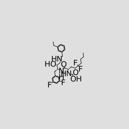 CCCCC(F)(F)CC[C@@H](NC(=O)O)C(=O)N[C@@H](Cc1cc(F)cc(F)c1)[C@H](O)CNCc1cccc(CC)c1